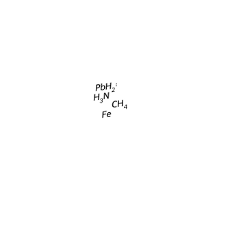 C.N.[Fe].[PbH2]